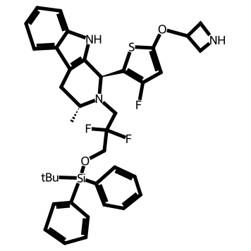 C[C@@H]1Cc2c([nH]c3ccccc23)[C@@H](c2sc(OC3CNC3)cc2F)N1CC(F)(F)CO[Si](c1ccccc1)(c1ccccc1)C(C)(C)C